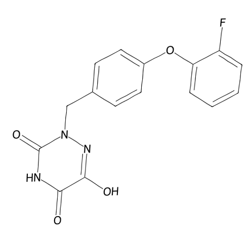 O=c1[nH]c(=O)n(Cc2ccc(Oc3ccccc3F)cc2)nc1O